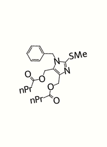 CCCC(=O)OCc1nc(SC)n(Cc2ccccc2)c1COC(=O)CCC